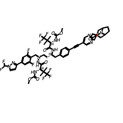 COC(=O)N[C@H](C(=O)N[C@@H]([CH]CN(Cc1c(F)cc(-c2ccn(C(F)F)n2)cc1F)NC(=O)[C@@H](NC(=O)OC)C(C)(C)C(F)(F)F)Cc1ccc(C#Cc2cnc(N3CC4CCC(C3)N4C3COC3)nc2)cc1)C(C)(C)C(F)(F)F